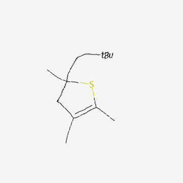 CC1=C(C)SC(C)(CC(C)(C)C)C1